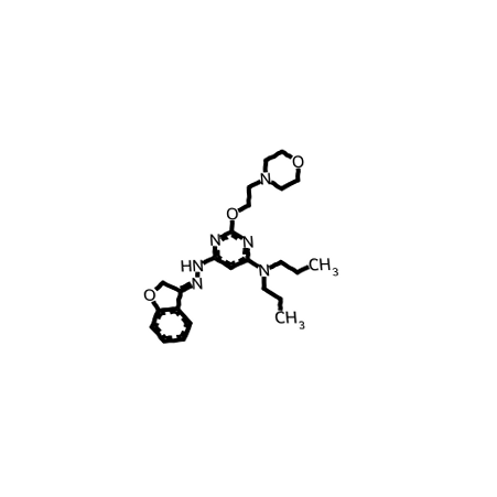 CCCN(CCC)c1cc(N/N=C2\COc3ccccc32)nc(OCCN2CCOCC2)n1